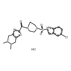 CN1Cc2nc(C(=O)N3CCN(S(=O)(=O)c4cc5cc(Cl)ccc5[nH]4)CC3)sc2CN1C.Cl